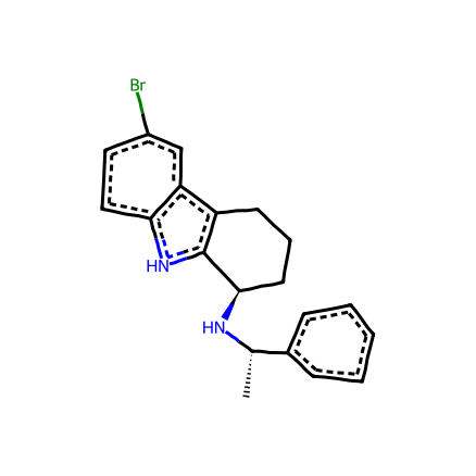 C[C@H](N[C@@H]1CCCc2c1[nH]c1ccc(Br)cc21)c1ccccc1